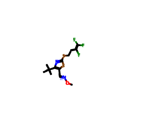 CO/N=C/c1sc(SCCC(F)=C(F)F)nc1C(C)(C)C